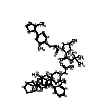 Cc1cc(-c2scnc2C)ccc1CNC(=O)[C@@H]1C[C@@H](O)CN1C(=O)[C@@H](NC(=O)CN1CCC(c2cnc(N3C4CCC3CN(c3cc(-c5ccccc5O)nnc3N)C4)nc2)CC1)C(C)(C)C